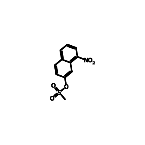 CS(=O)(=O)Oc1ccc2cccc([N+](=O)[O-])c2c1